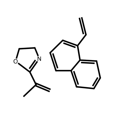 C=C(C)C1=NCCO1.C=Cc1cccc2ccccc12